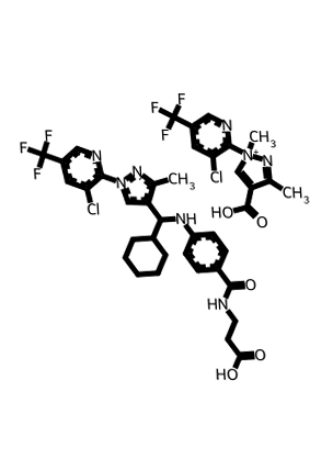 CC1=N[N+](C)(c2ncc(C(F)(F)F)cc2Cl)C=C1C(=O)O.Cc1nn(-c2ncc(C(F)(F)F)cc2Cl)cc1C(Nc1ccc(C(=O)NCCC(=O)O)cc1)C1CCCCC1